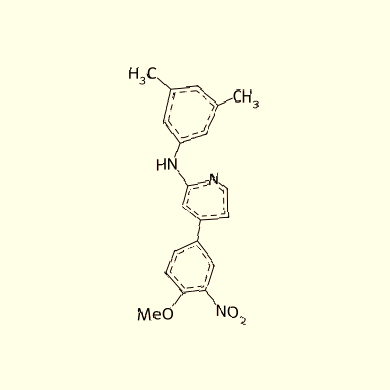 COc1ccc(-c2ccnc(Nc3cc(C)cc(C)c3)c2)cc1[N+](=O)[O-]